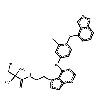 CC(C)(CO)C(=O)NCCn1ccc2ncnc(Nc3ccc(Oc4cccc5sncc45)c(Br)c3)c21